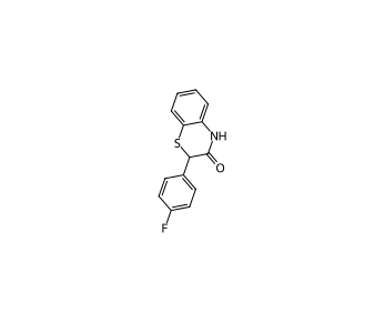 O=C1Nc2ccccc2SC1c1ccc(F)cc1